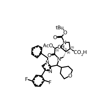 CC(=O)O[C@@H](C)C(=O)N(C[C@@H]1CN(C(=O)OC(C)(C)C)C[C@H]1C(=O)O)C(c1nc(-c2cc(F)ccc2F)cn1Cc1ccccc1)C1CCOCC1